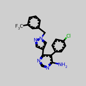 Nc1ncnc(-c2cnn(Cc3cccc(C(F)(F)F)c3)c2)c1-c1ccc(Cl)cc1